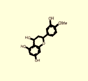 COc1ccc(C2CC(O)c3c(O)cc(O)cc3O2)cc1O